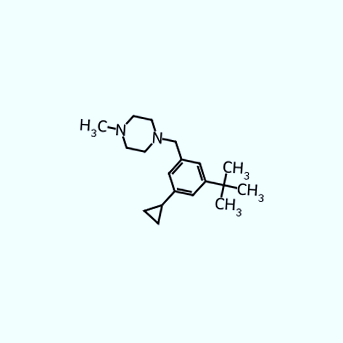 CN1CCN(Cc2cc(C3CC3)cc(C(C)(C)C)c2)CC1